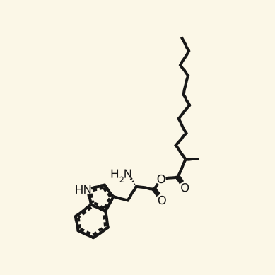 CCCCCCCCCC(C)C(=O)OC(=O)[C@@H](N)Cc1c[nH]c2ccccc12